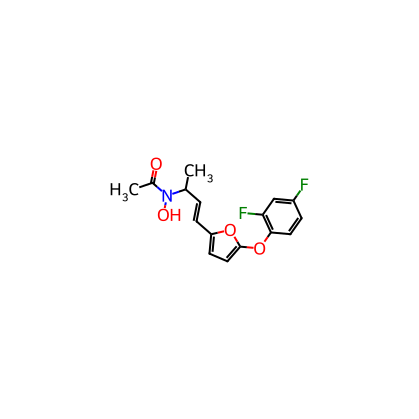 CC(=O)N(O)C(C)C=Cc1ccc(Oc2ccc(F)cc2F)o1